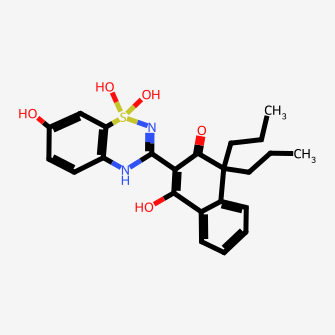 CCCC1(CCC)C(=O)C(C2=NS(O)(O)c3cc(O)ccc3N2)=C(O)c2ccccc21